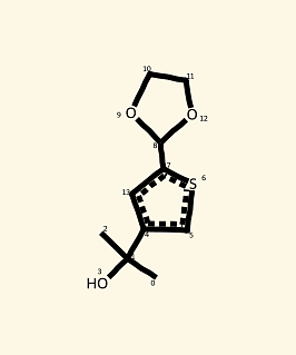 CC(C)(O)c1csc(C2OCCO2)c1